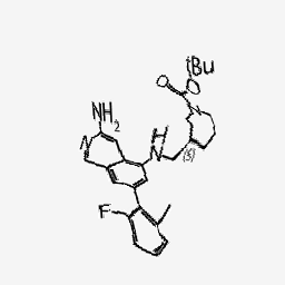 Cc1cccc(F)c1-c1cc(NC[C@@H]2CCCN(C(=O)OC(C)(C)C)C2)c2cc(N)ncc2c1